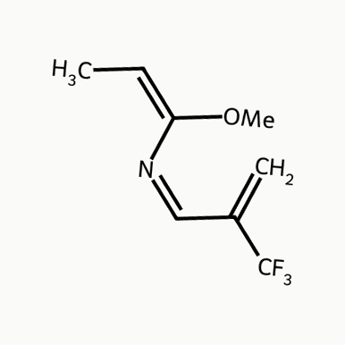 C=C(/C=N\C(=C/C)OC)C(F)(F)F